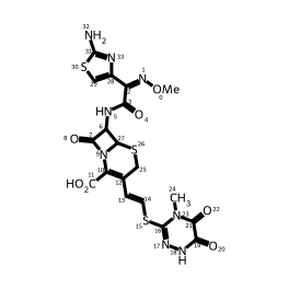 CO/N=C(\C(=O)NC1C(=O)N2C(C(=O)O)=C(/C=C/Sc3n[nH]c(=O)c(=O)n3C)CSC12)c1csc(N)n1